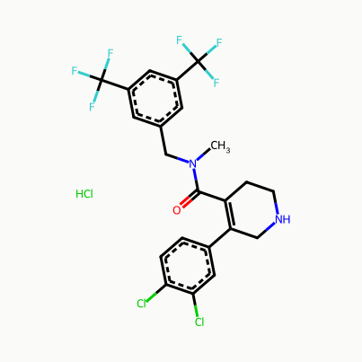 CN(Cc1cc(C(F)(F)F)cc(C(F)(F)F)c1)C(=O)C1=C(c2ccc(Cl)c(Cl)c2)CNCC1.Cl